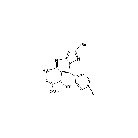 CCCC(C(=O)OC)c1c(C)nc2cc(C(C)(C)C)nn2c1-c1ccc(Cl)cc1